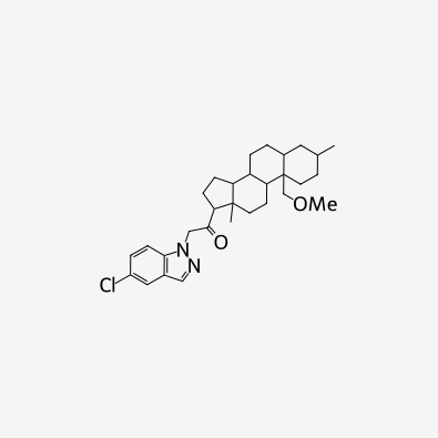 COCC12CCC(C)CC1CCC1C3CCC(C(=O)Cn4ncc5cc(Cl)ccc54)C3(C)CCC12